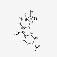 COC1CCC(C(=O)N2CCC(C)(C(=O)I)CC2)CC1